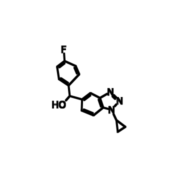 OC(c1ccc(F)cc1)c1ccc2c(c1)nnn2C1CC1